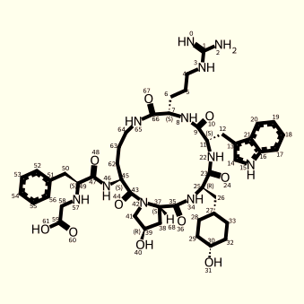 N=C(N)NCCC[C@@H]1NC(=O)[C@H](Cc2c[nH]c3ccccc23)NC(=O)[C@@H](C[C@H]2CC[C@@H](O)CC2)NC(=O)[C@@H]2C[C@@H](O)CN2C(=O)[C@@H](NC(=O)[C@H](Cc2ccccc2)NCC(=O)O)CCCNC1=O